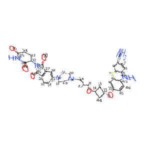 Nc1ccc2c(c1)Sc1cc(O[C@H]3C[C@H](OCCCN4CCN(c5ccc6c(c5)C(=O)N(C5CCC(=O)NC5=O)C6=O)CC4)C3)ccc1N2